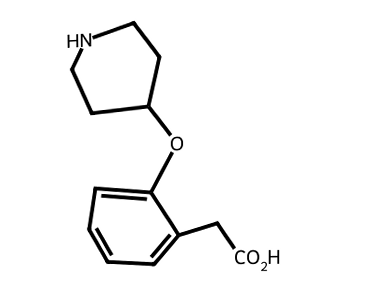 O=C(O)Cc1ccccc1OC1CCNCC1